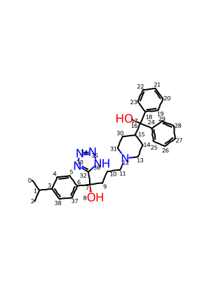 CC(C)c1ccc([C@@](O)(CCCN2CCC(C(O)(c3ccccc3)c3ccccc3)CC2)c2nnn[nH]2)cc1